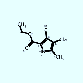 CCOC(=O)c1[nH]c(C)c(Cl)c1Cl